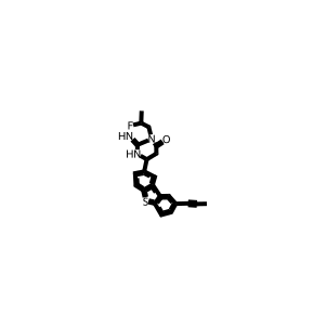 CC#Cc1ccc2sc3ccc(C4CC(=O)N(CC(C)F)C(=N)N4)cc3c2c1